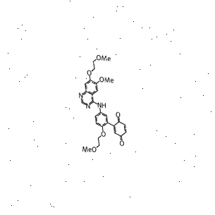 COCCOc1cc2ncnc(Nc3ccc(OCCOC)c(C4=CC(=O)C=CC4=O)c3)c2cc1OC